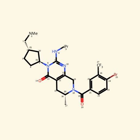 CNC[C@H]1CC[C@H](n2c(NC(C)C)nc3c(c2=O)C[C@@H](C)N(C(=O)c2ccc(Br)c(C(F)(F)F)c2)C3)C1